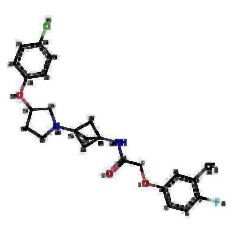 O=C(COc1ccc(F)c(C(F)(F)F)c1)NC12CC(N3CCC(Oc4ccc(Cl)cc4)C3)(C1)C2